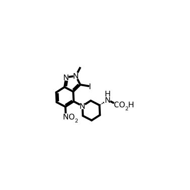 Cn1nc2ccc([N+](=O)[O-])c(N3CCC[C@@H](NC(=O)O)C3)c2c1I